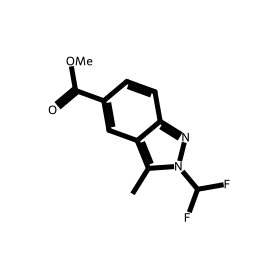 COC(=O)c1ccc2nn(C(F)F)c(C)c2c1